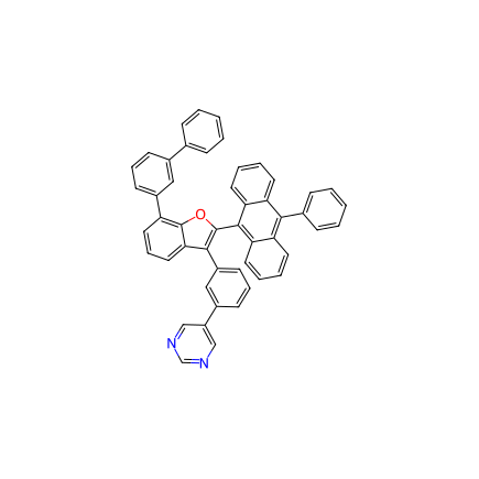 c1ccc(-c2cccc(-c3cccc4c(-c5cccc(-c6cncnc6)c5)c(-c5c6ccccc6c(-c6ccccc6)c6ccccc56)oc34)c2)cc1